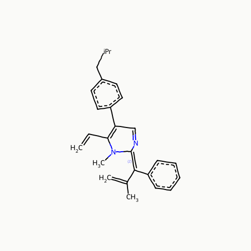 C=CC1=C(c2ccc(CC(C)C)cc2)C=N/C(=C(/C(=C)C)c2ccccc2)N1C